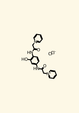 O=C(C[n+]1ccccc1)Nc1ccc(NC(=O)C[n+]2ccccc2)c(O)c1.[Cl-].[Cl-]